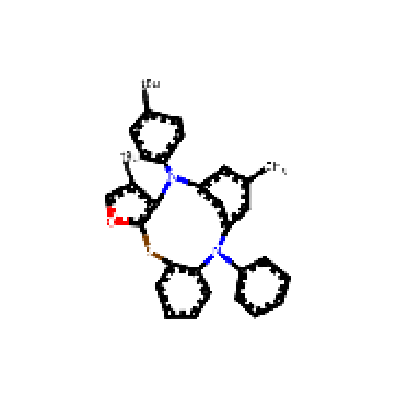 Cc1cc2cc(c1)N(c1ccc(C(C)(C)C)cc1)c1c(C(C)(C)C)coc1Sc1ccccc1N2c1ccccc1